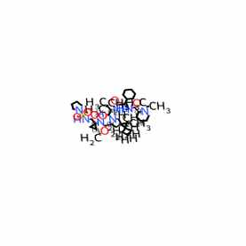 [2H]C1N(C(=O)[C@@H](NC(=O)[C@@H](NC(=O)[C@@H]2CCCCN2C(C)C)C2CCCCC2)C(C)(C)C)[C@H](C(=O)N[C@]2(C(=O)NS(=O)(=O)N3CCCC3)C[C@H]2C=C)C[C@]12C(C)(C)C21C([2H])([2H])C([2H])([2H])C1([2H])[2H]